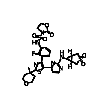 CC1(c2nc(-c3cccc(NS(=O)(=O)N4CCOC4=O)c3F)c(-c3ccnc(N[C@@H]4[C@@H]5CS(=O)(=O)C[C@@H]54)n3)s2)CCOCC1